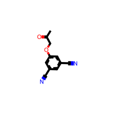 CC(=O)COc1cc(C#N)cc(C#N)c1